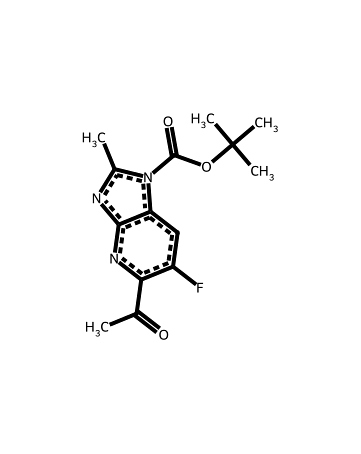 CC(=O)c1nc2nc(C)n(C(=O)OC(C)(C)C)c2cc1F